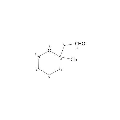 O=CCC1(Cl)CCCSO1